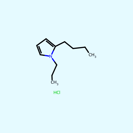 CCCCc1cccn1CCC.Cl